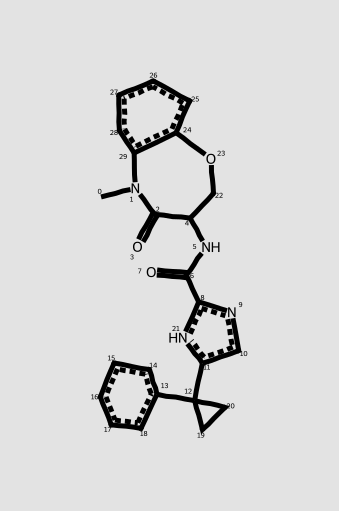 CN1C(=O)C(NC(=O)c2ncc(C3(c4ccccc4)CC3)[nH]2)COc2ccccc21